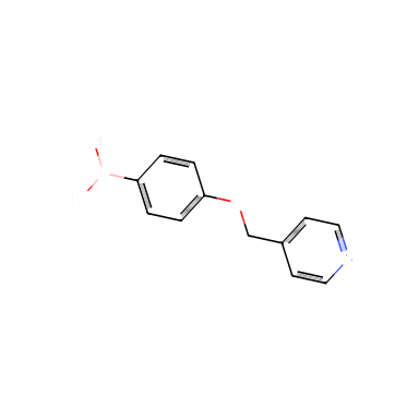 OB(O)c1ccc(OCc2ccncc2)cc1